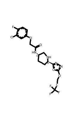 O=C(COc1ccc(F)c(Cl)c1)N[C@H]1CC[C@H](c2nnc(OCCC(F)(F)F)o2)NC1